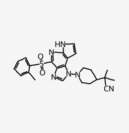 Cc1ccccc1S(=O)(=O)c1nc2[nH]ccc2c2c1ncn2N1CCC(C(C)(C)C#N)CC1